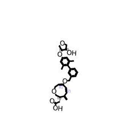 C=C1/C=C\C(OCc2cccc(-c3c(C)cc(O[C@@H]4COC[C@H]4O)cc3C)c2)=C/COC[C@H]1CC(=O)O